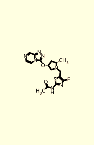 CC(=O)Nc1nc(F)c(CN2C[C@H](Oc3nnc4cnccn34)C[C@@H]2C)s1